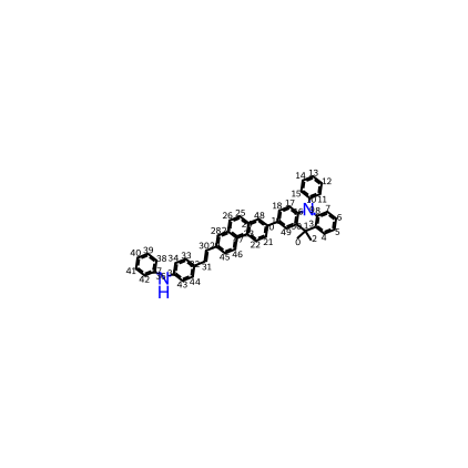 CC1(C)c2ccccc2N(c2ccccc2)c2ccc(-c3ccc4c(ccc5cc(/C=C/c6ccc(Nc7ccccc7)cc6)ccc54)c3)cc21